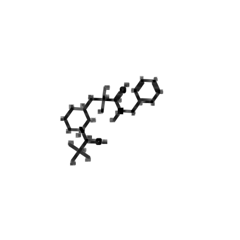 CN(Cc1ccccc1)C(=O)C(C)(C)CC1CCCN(C(=O)C(C)(C)C)C1